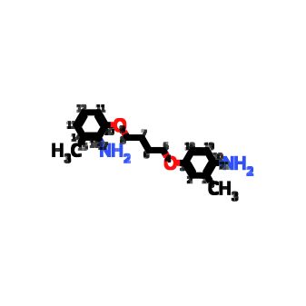 Cc1cc(OCCCCOc2cccc(C)c2N)ccc1N